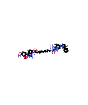 Cc1cc(N2CC[C@](C)(c3ccccc3)C2)cn2nc(C(=O)NCCCCCCCCCC(=O)Nc3cccc4c(C5CCC(=O)NC5=O)nn(C)c34)nc12